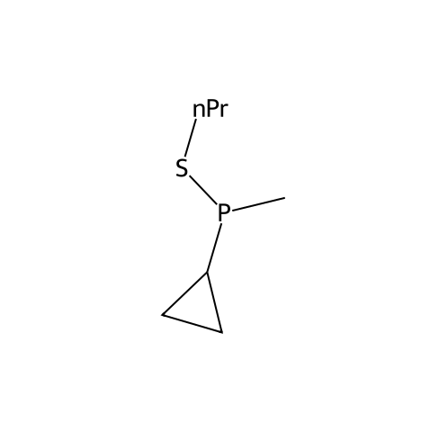 CCCSP(C)C1CC1